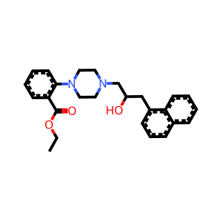 CCOC(=O)c1ccccc1N1CCN(CC(O)Cc2cccc3ccccc23)CC1